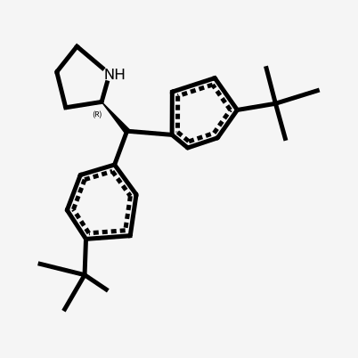 CC(C)(C)c1ccc(C(c2ccc(C(C)(C)C)cc2)[C@H]2CCCN2)cc1